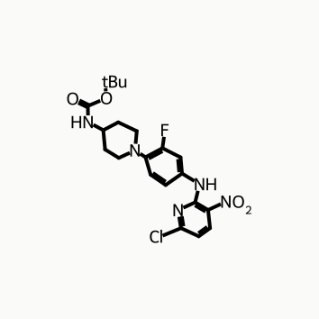 CC(C)(C)OC(=O)NC1CCN(c2ccc(Nc3nc(Cl)ccc3[N+](=O)[O-])cc2F)CC1